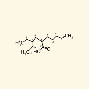 CCCCCC(CC(CC)CC)C(=O)O